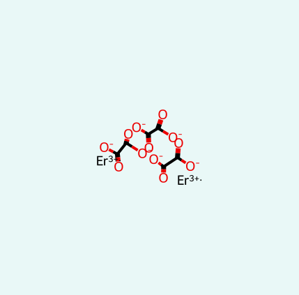 O=C([O-])C(=O)[O-].O=C([O-])C(=O)[O-].O=C([O-])C(=O)[O-].[Er+3].[Er+3]